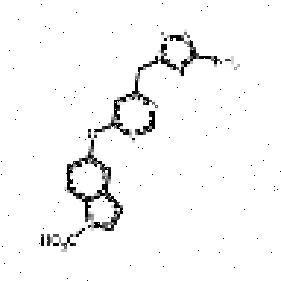 Nc1nnn(Cc2cc(Oc3ccc4c(ccn4C(=O)O)c3)ncn2)n1